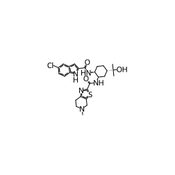 CN1CCc2nc(C(=O)N[C@@H]3C[C@@H](C(C)(C)O)CC[C@@H]3NC(=O)c3cc4cc(Cl)ccc4[nH]3)sc2C1